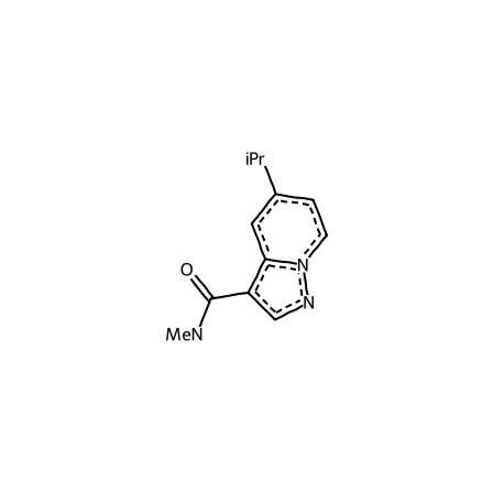 CNC(=O)c1cnn2ccc(C(C)C)cc12